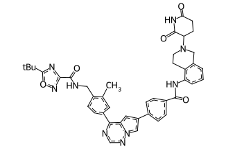 Cc1cc(-c2ncnn3cc(-c4ccc(C(=O)Nc5cccc6c5CCN(C5CCC(=O)NC5=O)C6)cc4)cc23)ccc1CNC(=O)c1noc(C(C)(C)C)n1